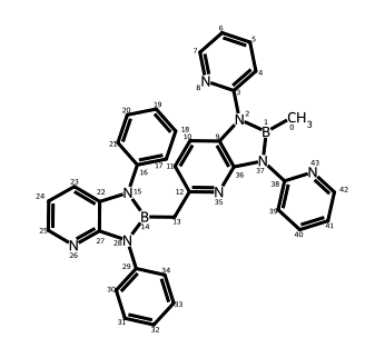 CB1N(c2ccccn2)c2ccc(CB3N(c4ccccc4)c4cccnc4N3c3ccccc3)nc2N1c1ccccn1